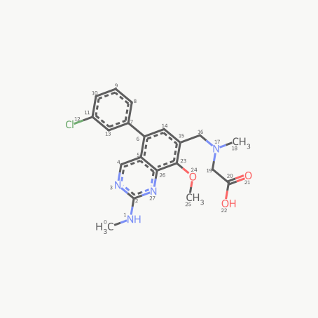 CNc1ncc2c(-c3cccc(Cl)c3)cc(CN(C)CC(=O)O)c(OC)c2n1